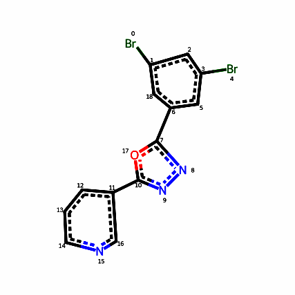 Brc1cc(Br)cc(-c2nnc(-c3cccnc3)o2)c1